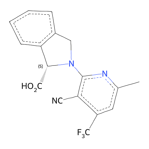 Cc1cc(C(F)(F)F)c(C#N)c(N2Cc3ccccc3[C@H]2C(=O)O)n1